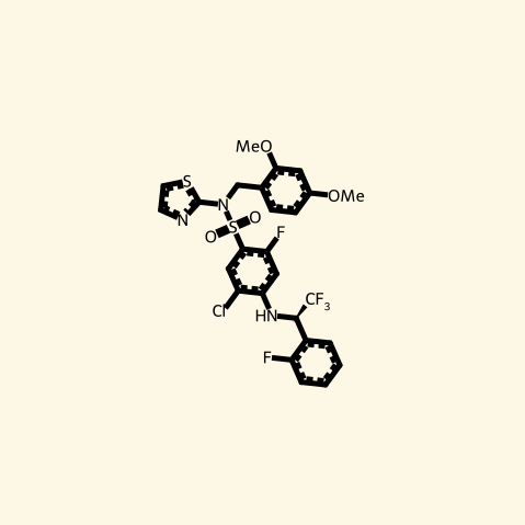 COc1ccc(CN(c2nccs2)S(=O)(=O)c2cc(Cl)c(N[C@H](c3ccccc3F)C(F)(F)F)cc2F)c(OC)c1